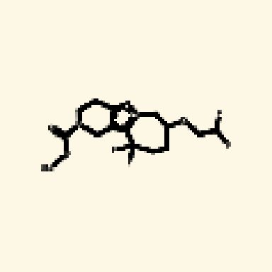 CC(C)(C)OC(=O)N1CCc2nn3c(c2C1)C(F)(F)CCC(OCC(F)F)C3